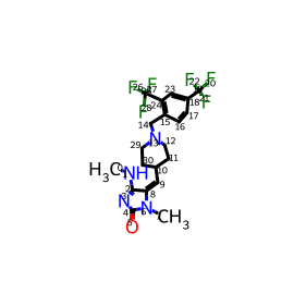 CNC1=NC(=O)N(C)C1=CC1CCN(Cc2ccc(C(F)(F)F)cc2C(F)(F)F)CC1